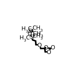 C[Si](C)(C)O[Si](C)(C)CCCOCC1COC(=O)O1